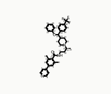 Cc1cc(-c2ccncc2)cc(C)c1C(=O)NCC[C@H](C)N1CCC(C(Oc2ccccc2)c2ccc(C(F)(F)F)cc2)CC1